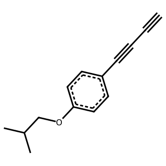 C#CC#Cc1ccc(OCC(C)C)cc1